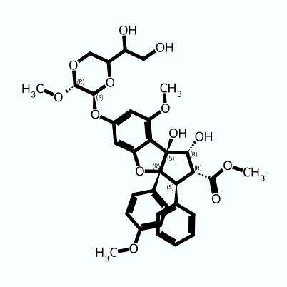 COC(=O)[C@H]1[C@@H](O)[C@@]2(O)c3c(OC)cc(O[C@@H]4OC(C(O)CO)CO[C@H]4OC)cc3O[C@@]2(c2ccc(OC)cc2)[C@@H]1c1ccccc1